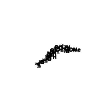 COc1ncc(-c2ccc3c(c2)C[C@@H](NC(=O)c2cc4n(n2)CC(CCOCC2CC2)O4)CO3)cn1